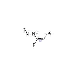 C=NN/C(F)=C\C(C)C